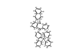 c1ccc(N(c2cccc(C3(c4ccccc4)c4ccccc4-c4ccccc43)c2)c2cccc3c2sc2cc4ccccc4cc23)cc1